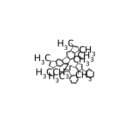 CC[C](c1ccccc1)=[Zr]([C]1=C(C)C(c2ccccc2)=CC1C)[CH]1c2cc3c(cc2-c2cc4c(cc21)C(C)(C)C=C4C)C(C)=CC3(C)C